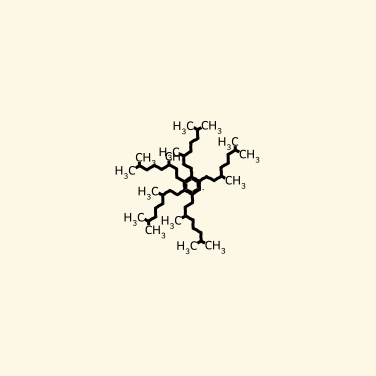 CC(C)CCCC(C)CCc1[c]c(CCC(C)CCCC(C)C)c(CCC(C)CCCC(C)C)c(CCC(C)CCCC(C)C)c1CCC(C)CCCC(C)C